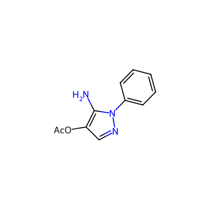 CC(=O)Oc1cnn(-c2ccccc2)c1N